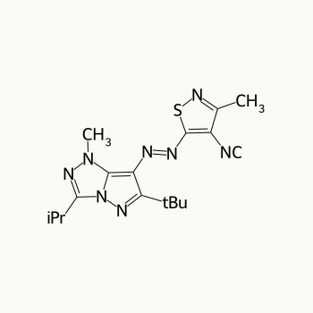 [C-]#[N+]c1c(C)nsc1/N=N/c1c(C(C)(C)C)nn2c(C(C)C)nn(C)c12